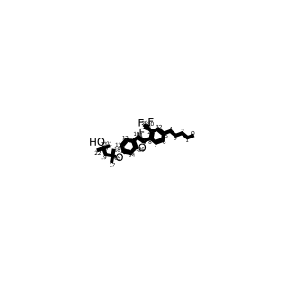 CCCCCc1ccc(-c2cc3ccc(OC(C)(C)CC(C)(C)O)cc3o2)c(C(F)(F)F)c1